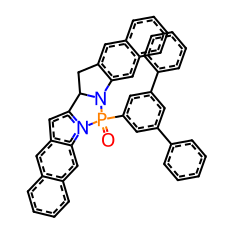 O=P1(c2cc(-c3ccccc3)cc(-c3ccccc3)c2)N2c3cc4ccccc4cc3CC2c2cc3cc4ccccc4cc3n21